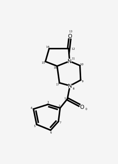 O=C(c1ccccc1)N1CCN2C(=O)CCC2C1